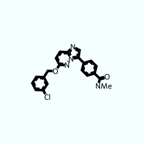 CNC(=O)c1ccc(-c2cnc3ccc(OCc4cccc(Cl)c4)nn23)cc1